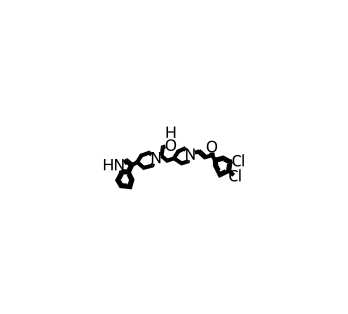 O=C(C=CN1CCC(CC(CO)N2CCC(c3c[nH]c4ccccc34)CC2)CC1)c1ccc(Cl)c(Cl)c1